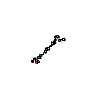 CC1(C)c2cc(/C=C/c3ccc4c(c3)C(C)(C)c3cc(N(c5ccc6sc7ccccc7c6c5)c5cccc6ccccc56)ccc3-4)ccc2-c2ccc(/C=C/c3ccc4c(c3)C(C)(C)c3cc(N(c5ccc6sc7ccccc7c6c5)c5cccc6ccccc56)ccc3-4)cc21